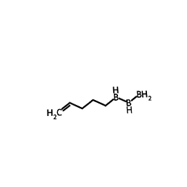 BBBCCCC=C